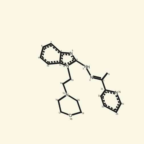 C/C(=N\Nc1nc2ccccc2n1CCN1CCOCC1)c1ccccn1